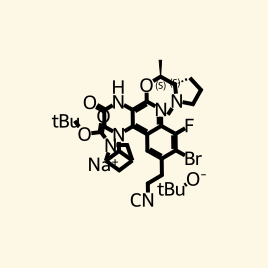 CC(C)(C)[O-].C[C@H](Oc1nc2c(F)c(Br)c(CCC#N)cc2c2c1NC(=O)CN2C1C2CC1N(C(=O)OC(C)(C)C)C2)[C@@H]1CCCN1C.[Na+]